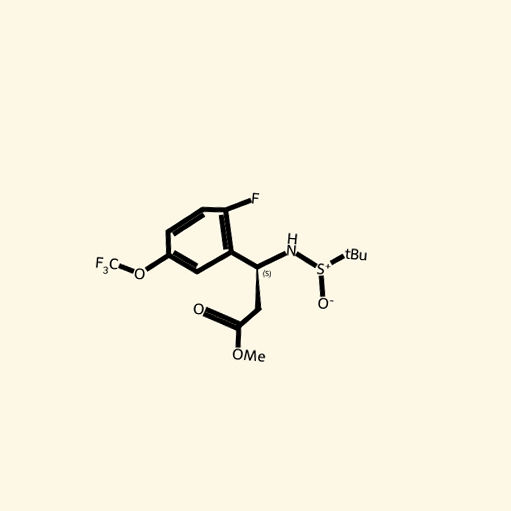 COC(=O)C[C@H](N[S+]([O-])C(C)(C)C)c1cc(OC(F)(F)F)ccc1F